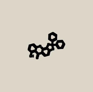 O=c1c2ccc3c(c2oc2cccc(O)c12)OC(c1ccccc1)(c1ccccc1)O3